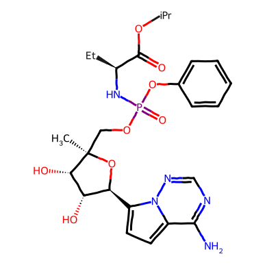 CC[C@H](NP(=O)(OC[C@@]1(C)O[C@@H](c2ccc3c(N)ncnn23)[C@H](O)[C@@H]1O)Oc1ccccc1)C(=O)OC(C)C